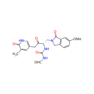 COc1ccc2c(c1)C(=O)N(C[C@H](NC(=O)NC=O)C(=O)Cc1c[nH]c(=O)c(C)c1)C2